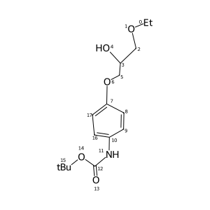 CCOCC(O)COc1ccc(NC(=O)OC(C)(C)C)cc1